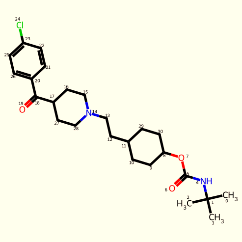 CC(C)(C)NC(=O)OC1CCC(CCN2CCC(C(=O)c3ccc(Cl)cc3)CC2)CC1